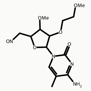 COCCOC1C(OC)C(CN=O)OC1n1cc(C)c(N)nc1=O